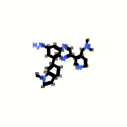 CN(C)Cc1ccncc1-c1cnc2cc(N)cc(-c3ccc4ccn(C)c4c3)c2n1